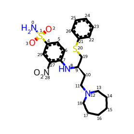 NS(=O)(=O)c1ccc(N[C@H](CCN2CCCCCC2)CSc2ccccc2)c([N+](=O)[O-])c1